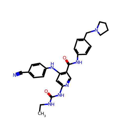 CCNC(=O)Nc1cc(Nc2ccc(C#N)cc2)c(C(=O)Nc2ccc(CN3CCCC3)cc2)cn1